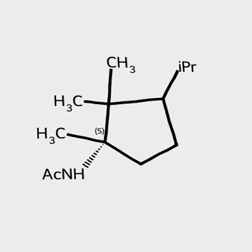 CC(=O)N[C@@]1(C)CCC(C(C)C)C1(C)C